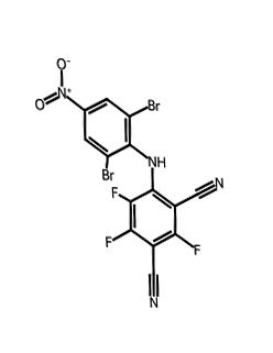 N#Cc1c(F)c(F)c(Nc2c(Br)cc([N+](=O)[O-])cc2Br)c(C#N)c1F